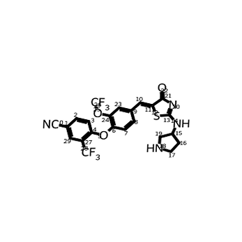 N#Cc1ccc(Oc2ccc(/C=C3\SC(NC4CCNC4)=NC3=O)cc2OC(F)(F)F)c(C(F)(F)F)c1